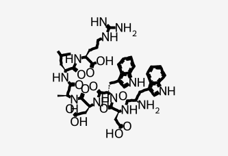 CC(C)C[C@H](NC(=O)[C@H](C)NC(=O)[C@H](CC(=O)O)NC(=O)[C@H](Cc1c[nH]c2ccccc12)NC(=O)[C@H](CC(=O)O)NC(=O)[C@@H](N)Cc1c[nH]c2ccccc12)C(=O)N[C@@H](CCCNC(=N)N)C(=O)O